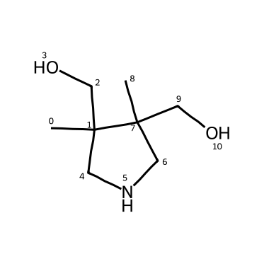 CC1(CO)CNCC1(C)CO